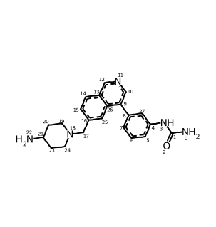 NC(=O)Nc1cccc(-c2cncc3ccc(CN4CCC(N)CC4)cc23)c1